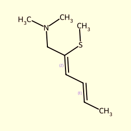 C/C=C/C=C(/CN(C)C)SC